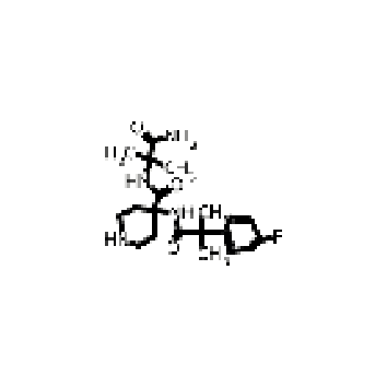 CC(C)(NC(=O)C1(NC(=O)C(C)(C)c2ccc(F)cc2)CCNCC1)C(N)=O